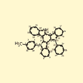 Cc1ccc(-n2c3ccccc3c3c4c(c5ccccc5n4-c4ccccc4)c4[nH]c5ccccc5c4c32)cc1